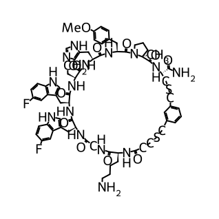 COc1ccc(C[C@@H]2NC(=O)[C@H](Cc3cnc[nH]3)NC(=O)[C@H](CC(=O)O)NC(=O)[C@H](Cc3c[nH]c4ccc(F)cc34)NC(=O)[C@H](Cc3c[nH]c4ccc(F)cc34)NC(=O)CNC(=O)[C@H](CCCCN)NC(=O)CCSCc3cccc(c3)CSC[C@@H](C(N)=O)NC(=O)[C@]3(C)CCCN3C2=O)cc1